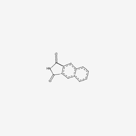 O=C1NC(=O)c2cc3ccccc3[c]c21